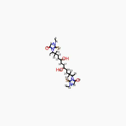 CCN1CC(=O)N(C(C)C(C)(C)CCC(O)CCC(O)CCC(C)(C)C(C)N2C(=O)CN(CC)C2=S)C1=S